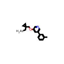 Cc1cccc(-c2cncc(OCC3(C[AsH2])CC3)c2)c1